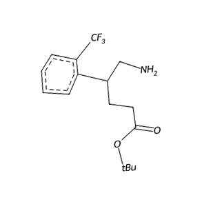 CC(C)(C)OC(=O)CCC(CN)c1ccccc1C(F)(F)F